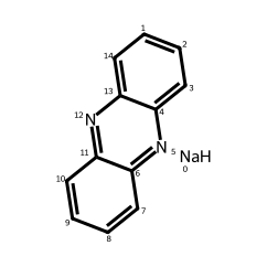 [NaH].c1ccc2nc3ccccc3nc2c1